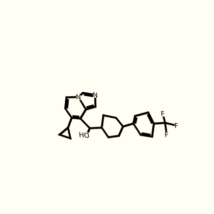 OC(c1c(C2CC2)ccn2cncc12)C1CCC(c2ccc(C(F)(F)F)cc2)CC1